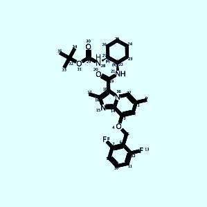 Cc1cc(OCc2c(F)cccc2F)c2nc(C)c(C(=O)N[C@@H]3CCCC[C@H]3NC(=O)OC(C)(C)C)n2c1